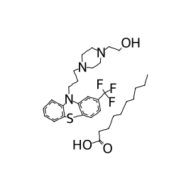 CCCCCCCCCC(=O)O.OCCN1CCN(CCCN2c3ccccc3Sc3ccc(C(F)(F)F)cc32)CC1